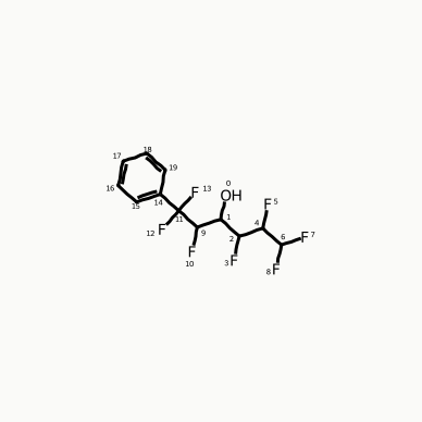 OC(C(F)C(F)C(F)F)C(F)C(F)(F)c1ccccc1